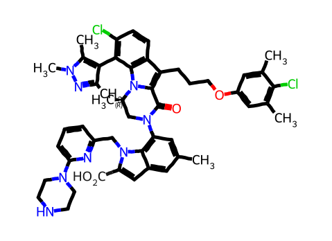 Cc1cc(N2C[C@@H](C)n3c(c(CCCOc4cc(C)c(Cl)c(C)c4)c4ccc(Cl)c(-c5c(C)nn(C)c5C)c43)C2=O)c2c(c1)cc(C(=O)O)n2Cc1cccc(N2CCNCC2)n1